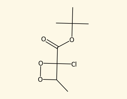 CC1OOC1(Cl)C(=O)OC(C)(C)C